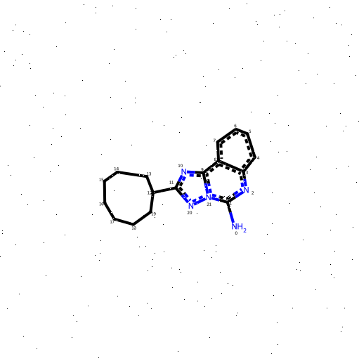 Nc1nc2ccccc2c2nc(C3CCCCCCC3)nn12